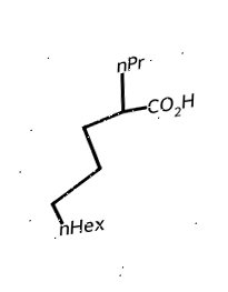 CCCCCCCCCC(CCC)C(=O)O